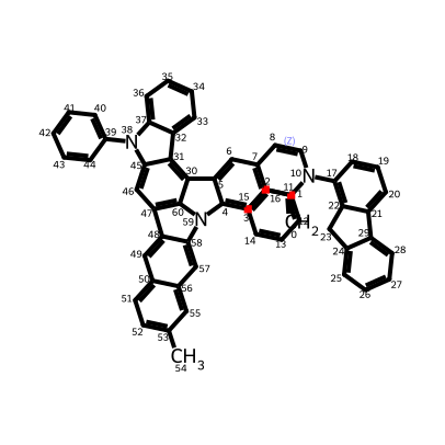 C=Cc1cc2c(cc1/C=C\N(c1ccccc1)c1cccc3c1Cc1ccccc1-3)c1c3c4ccccc4n(-c4ccccc4)c3cc3c4cc5ccc(C)cc5cc4n2c31